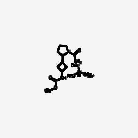 CC(=O)O[BH-](OC(C)=O)OC(C)=O.CC(C)(C)OC(=O)NC1CC(N2CCC[C@H]2C(N)=O)C1.[Na+]